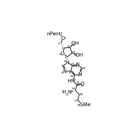 CCCCCOC[C@H]1O[C@@H](n2cnc3c(NC(=O)[C@@H](N)CCSC)ncnc32)[C@H](O)[C@@H]1O